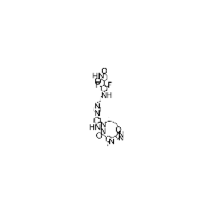 Cc1cc2cc(n1)-c1cnn(C)c1OCCC[C@@H](C)CN1/C(=N/C2=O)Nc2ccc(N3CCN(CCCNc4cc(F)c(C5CCC(=O)NC5=O)c(F)c4)CC3)cc21